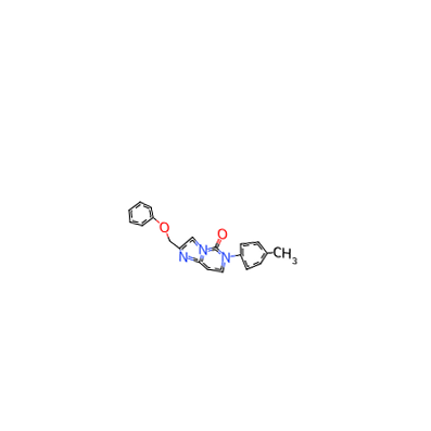 Cc1ccc(-n2ccc3nc(COc4ccccc4)cn3c2=O)cc1